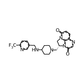 O=c1ccc2ncc(=O)n3c2n1C[C@H]3CN1CCC(NCc2ccc(C(F)(F)F)nc2)CC1